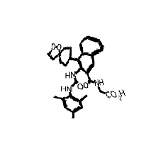 Cc1cc(C)c(NC(=O)Nc2c(C(=O)NCC(=O)O)cc3ccccc3c2C2CCC3(CCOO3)CC2)c(C)c1